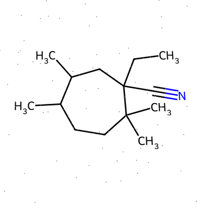 CCC1(C#N)CC(C)C(C)CCC1(C)C